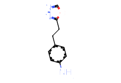 Nc1ccc(CCc2nnco2)cc1